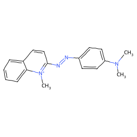 CN(C)c1ccc(/N=N/c2ccc3ccccc3[n+]2C)cc1